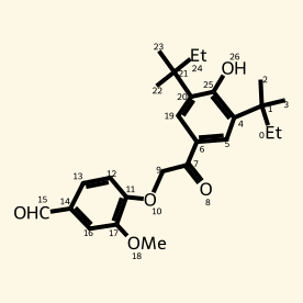 CCC(C)(C)c1cc(C(=O)COc2ccc(C=O)cc2OC)cc(C(C)(C)CC)c1O